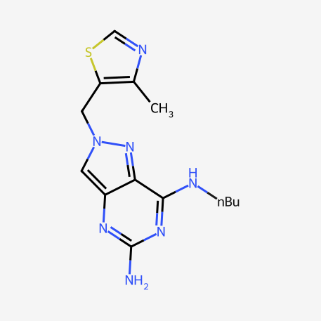 CCCCNc1nc(N)nc2cn(Cc3scnc3C)nc12